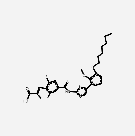 CCCCCCCOc1cccc(-c2csc(NC(=O)c3cc(F)c(C=C(C)C(=O)O)c(F)c3)n2)c1OC